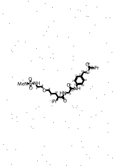 CNS(=O)(=O)NCCOCCCC(C(=O)NCC(=O)Nc1ccc(COC(=O)C(C)C)cc1)C(C)C